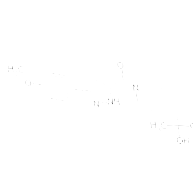 COc1ccc(-c2cc(C(=O)N3CCC(CC(C)(C)O)CC3)[nH]n2)cc1